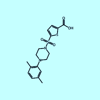 Cc1ccc(C)c(N2CCN(S(=O)(=O)c3ccc(C(=O)O)s3)CC2)c1